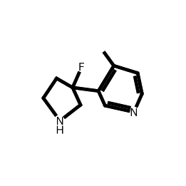 Cc1ccncc1C1(F)CCNC1